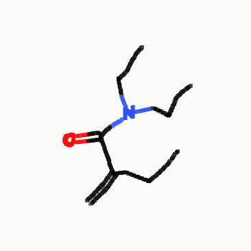 C=C(CC)C(=O)N(CC)CC